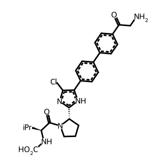 CC(C)[C@H](NC(=O)O)C(=O)N1CCC[C@H]1c1nc(Cl)c(-c2ccc(-c3ccc(C(=O)CN)cc3)cc2)[nH]1